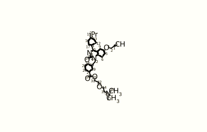 C#CCOc1ccc2c(c1)c(-c1ccc(C(C)C)cc1)nc(=O)n2Cc1cccc(C(=O)OCCOCCN(C)C)c1